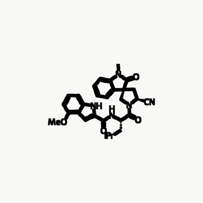 COc1cccc2[nH]c(C(=O)N[C@@H](CC(C)C)C(=O)N3C[C@]4(C[C@H]3C#N)C(=O)N(C)c3ccccc34)cc12